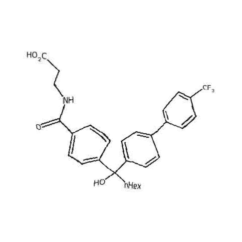 CCCCCCC(O)(c1ccc(C(=O)NCCC(=O)O)cc1)c1ccc(-c2ccc(C(F)(F)F)cc2)cc1